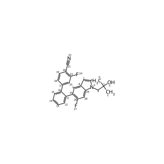 CC(C)(O)Cn1ccc2cc(-c3ccccc3-c3ccc(C#N)c(F)c3)c(F)cc21